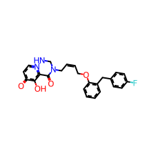 O=C1c2c(O)c(=O)ccn2NCN1C/C=C\COc1ccccc1Cc1ccc(F)cc1